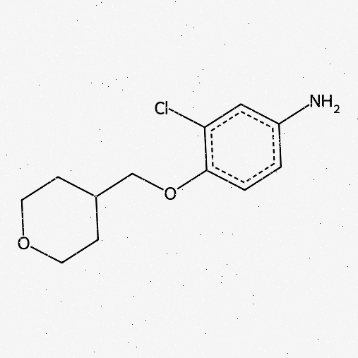 Nc1ccc(OCC2CCOCC2)c(Cl)c1